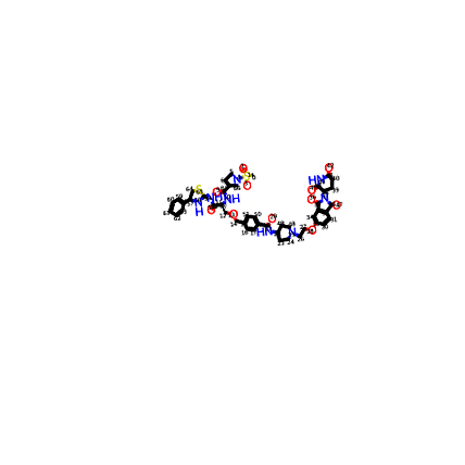 CS(=O)(=O)N1CCC(C(=O)N[C@@H](COCc2ccc(C(=O)NC3CCN(CCOc4ccc5c(c4)C(=O)N(C4CCC(=O)NC4=O)C5=O)CC3)cc2)C(=O)NC2NC(c3ccccc3)CS2)C1